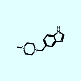 CN1CCN(Cc2ccc3[nH]ccc3c2)CC1